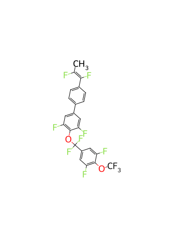 C/C(F)=C(\F)c1ccc(-c2cc(F)c(OC(F)(F)c3cc(F)c(OC(F)(F)F)c(F)c3)c(F)c2)cc1